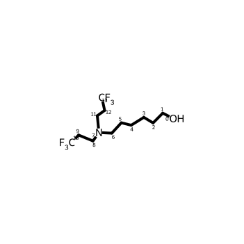 OCCCCCCN(CCC(F)(F)F)CCC(F)(F)F